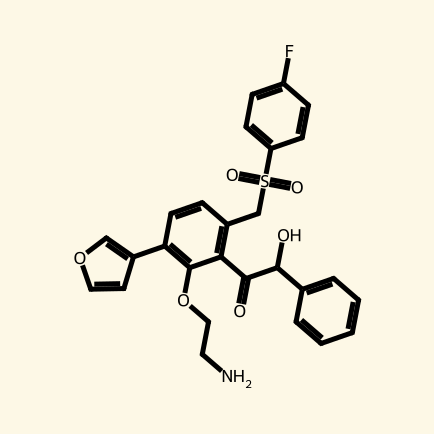 NCCOc1c(-c2ccoc2)ccc(CS(=O)(=O)c2ccc(F)cc2)c1C(=O)C(O)c1ccccc1